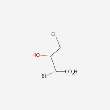 CC[C@@H](C(=O)O)C(O)CCl